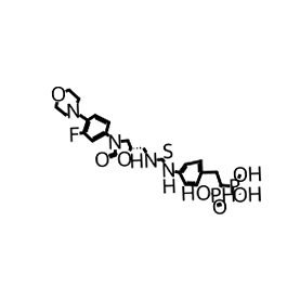 O=C1O[C@@H](CNC(=S)Nc2ccc(CC(P(O)O)[PH](=O)O)cc2)CN1c1ccc(N2CCOCC2)c(F)c1